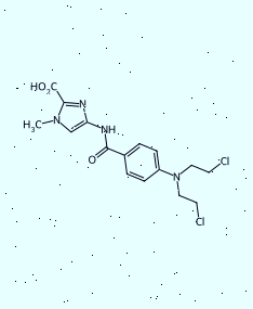 Cn1cc(NC(=O)c2ccc(N(CCCl)CCCl)cc2)nc1C(=O)O